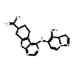 C=C(C#N)C1CCc2c(sc3ncnc(NC4=C(OC)C5CC=NN5C=C4)c23)C1